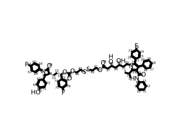 CC(C)c1c(C(=O)Nc2ccccc2)c(-c2ccccc2)c(-c2ccc(F)cc2)n1CC[C@@H](O)C[C@@H](O)CC(=O)OCCSSCCOC(=O)O[C@@H](CC[C@H]1C(=O)N(c2ccc(F)cc2)C1c1ccc(O)cc1)c1ccc(F)cc1